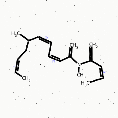 C=C(/C=C\C)N(C)C(=C)/C=C\C=C/C(C)C/C=C\C